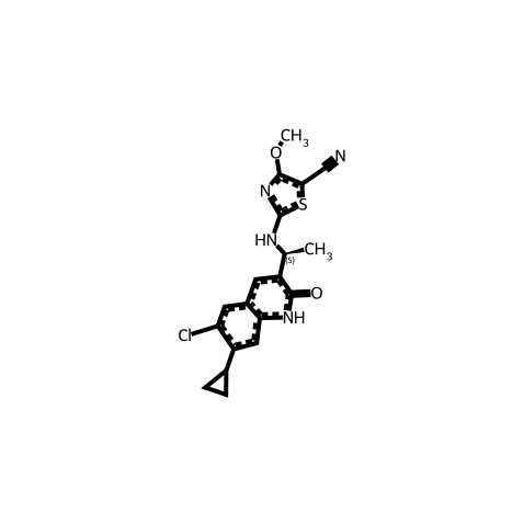 COc1nc(N[C@@H](C)c2cc3cc(Cl)c(C4CC4)cc3[nH]c2=O)sc1C#N